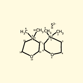 C[N+]1(C)CCOCC1.C[N+]1(C)CCOCC1.[S-2]